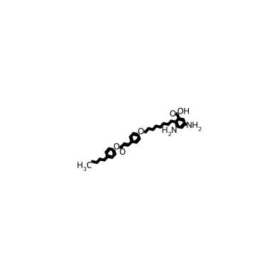 CCCCCc1ccc(OC(=O)C=Cc2ccc(OCCCCCCCCc3c(N)cc(N)cc3C(=O)O)cc2)cc1